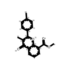 COC(=O)c1cccc2c(=O)c(C)c(-c3ccc(C)cc3)oc12